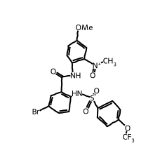 COc1ccc(NC(=O)c2cc(Br)ccc2NS(=O)(=O)c2ccc(OC(F)(F)F)cc2)c([N+](C)=O)c1